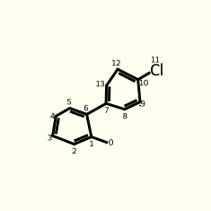 Cc1ccccc1-c1c[c]c(Cl)cc1